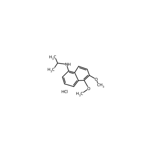 COc1ccc2c(NC(C)C)cccc2c1OC.Cl